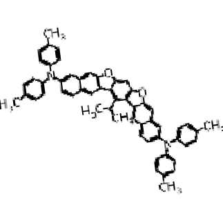 Cc1ccc(N(c2ccc(C)cc2)c2ccc3cc4c(cc3c2)oc2cc3oc5cc6cc(N(c7ccc(C)cc7)c7ccc(C)cc7)ccc6cc5c3c(C(C)C)c24)cc1